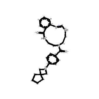 O=C1NCCN(C(=O)c2ccc(N3CC4(CCCC4)C3)cc2)CCN/C=N/c2ccccc21